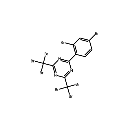 Brc1ccc(-c2nc(C(Br)(Br)Br)nc(C(Br)(Br)Br)n2)c(Br)c1